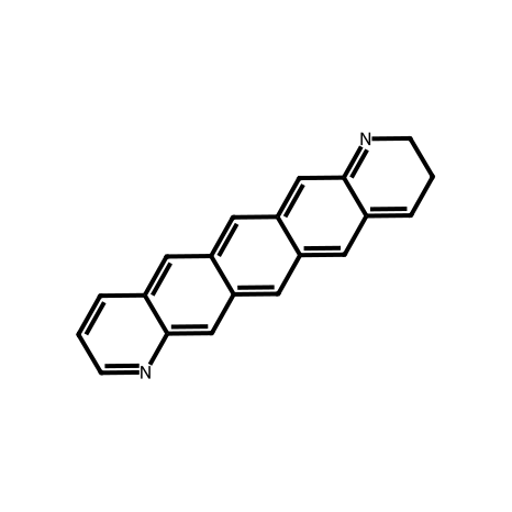 C1=c2cc3cc4cc5ncccc5cc4cc3cc2=NCC1